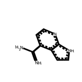 N=C(N)c1ccnc2[nH]ccc12